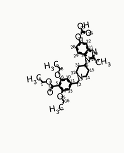 CCOC(=O)c1c(OCC)cc(CN2CCC(n3c(C)nc4cc(OC(=O)O)ccc43)CC2)cc1OCC